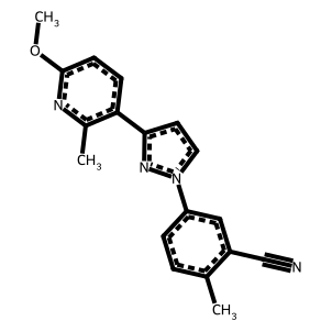 COc1ccc(-c2ccn(-c3ccc(C)c(C#N)c3)n2)c(C)n1